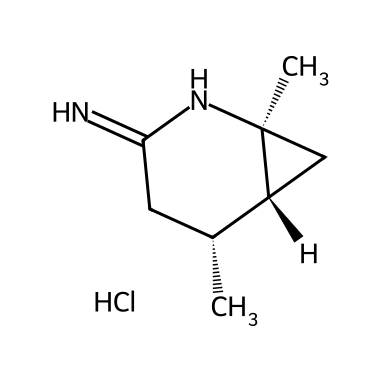 C[C@@H]1CC(=N)N[C@@]2(C)C[C@H]12.Cl